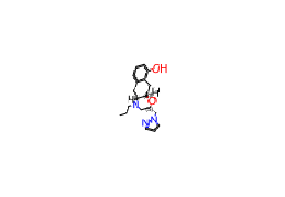 CCCN1C[C@@H](Cn2cccn2)O[C@@H]2Cc3c(O)cccc3C[C@H]21